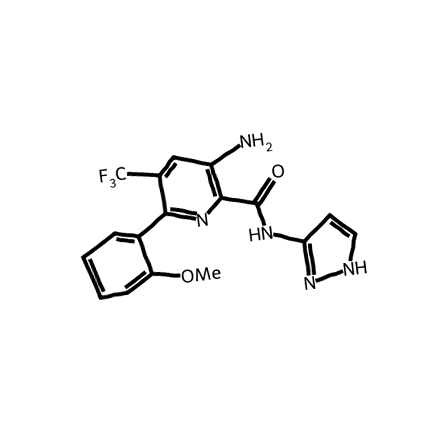 COc1ccccc1-c1nc(C(=O)Nc2cc[nH]n2)c(N)cc1C(F)(F)F